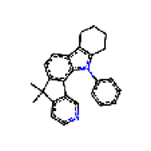 CC1(C)c2ccncc2-c2c1ccc1c3c(n(-c4ccccc4)c21)CCCC3